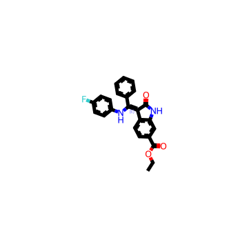 CCOC(=O)c1ccc2c(c1)NC(=O)/C2=C(/Nc1ccc(F)cc1)c1ccccc1